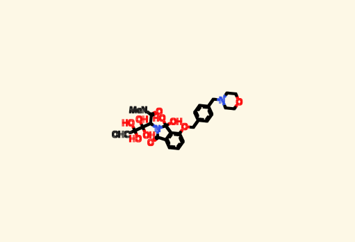 CNC(=O)C(N1C(=O)c2cccc(OCc3ccc(CN4CCOCC4)cc3)c2C1(O)O)C(O)(O)C(O)(O)C=O